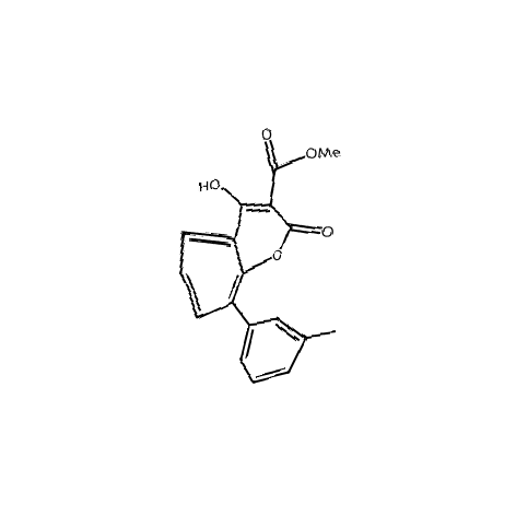 COC(=O)c1c(O)c2cccc(-c3cccc(C)c3)c2oc1=O